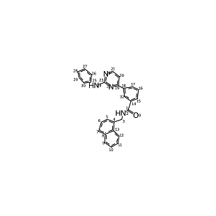 O=C(NCc1cccc2ccccc12)c1cccc(-c2ccnc(Nc3ccccc3)n2)c1